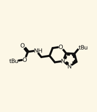 CC(C)(C)OC(=O)NCC1COc2c(C(C)(C)C)cnn2C1